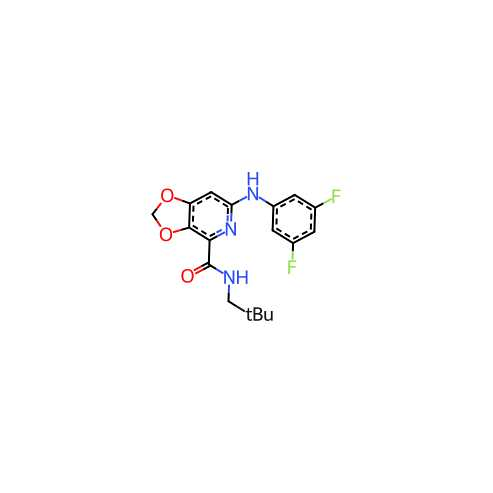 CC(C)(C)CNC(=O)c1nc(Nc2cc(F)cc(F)c2)cc2c1OCO2